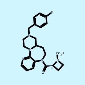 O=C([C@@H]1CCN1C(=O)O)N1CCC2CN(Cc3ccc(F)cc3)CCN2c2ncccc21